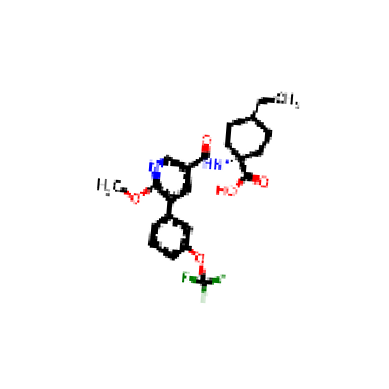 CC[C@H]1CC[C@@](NC(=O)c2cnc(OC)c(-c3cccc(OC(F)(F)F)c3)c2)(C(=O)O)CC1